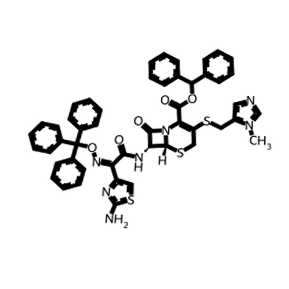 Cn1cncc1CSC1=C(C(=O)OC(c2ccccc2)c2ccccc2)N2C(=O)[C@@H](NC(=O)/C(=N\OC(c3ccccc3)(c3ccccc3)c3ccccc3)c3csc(N)n3)[C@H]2SC1